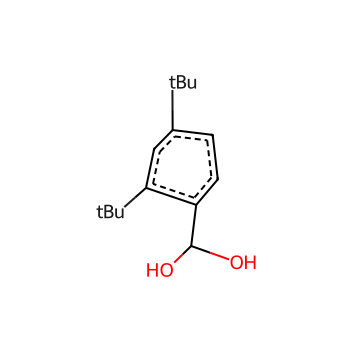 CC(C)(C)c1ccc(C(O)O)c(C(C)(C)C)c1